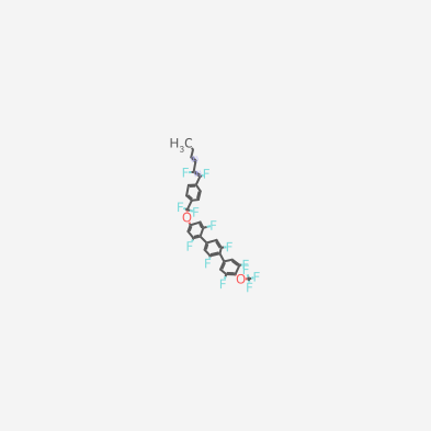 CC/C=C/C(F)=C(\F)c1ccc(C(F)(F)Oc2cc(F)c(-c3cc(F)c(-c4cc(F)c(OC(F)(F)F)c(F)c4)c(F)c3)c(F)c2)cc1